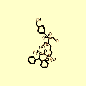 CC[C@@H](CCC[C@@H](CO)N(CC(C)C)S(=O)(=O)c1ccc(CO)cc1)N(C)C(=O)[C@@H](N)C(c1ccccc1)c1ccccc1